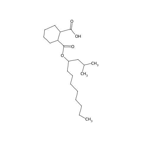 CCCCCCCCC(CC(C)C)OC(=O)C1CCCCC1C(=O)O